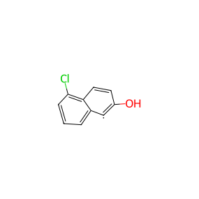 Oc1[c]c2cccc(Cl)c2cc1